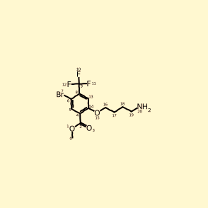 COC(=O)c1cc(Br)c(C(F)(F)F)cc1OCCCCN